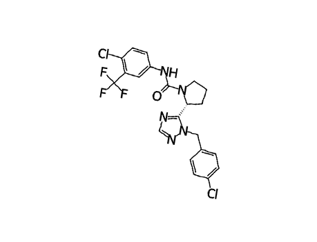 O=C(Nc1ccc(Cl)c(C(F)(F)F)c1)N1CCC[C@@H]1c1ncnn1Cc1ccc(Cl)cc1